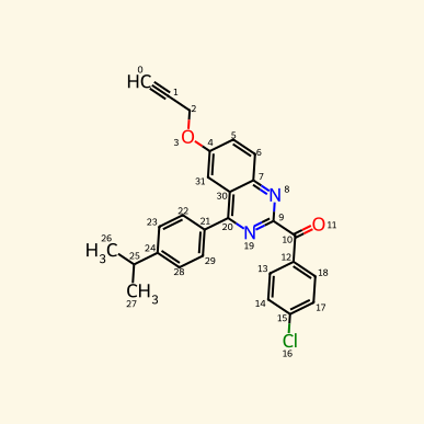 C#CCOc1ccc2nc(C(=O)c3ccc(Cl)cc3)nc(-c3ccc(C(C)C)cc3)c2c1